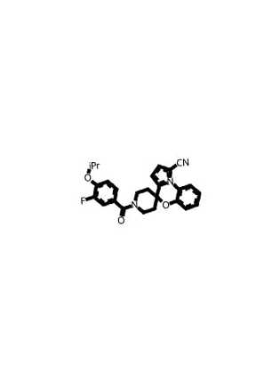 CC(C)Oc1ccc(C(=O)N2CCC3(CC2)Oc2ccccc2-n2c(C#N)ccc23)cc1F